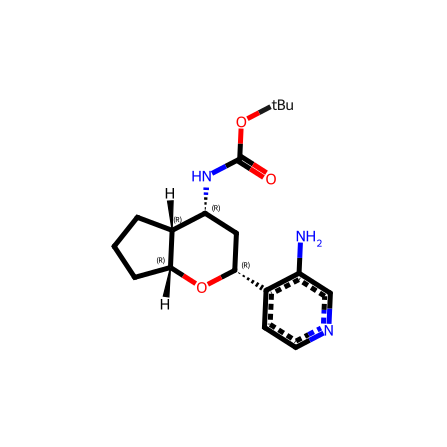 CC(C)(C)OC(=O)N[C@@H]1C[C@H](c2ccncc2N)O[C@@H]2CCC[C@H]12